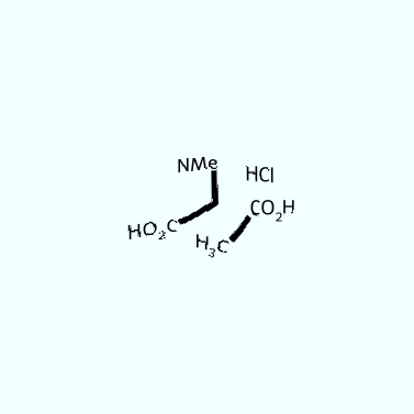 CC(=O)O.CNCC(=O)O.Cl